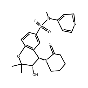 CN(c1ccncc1)S(=O)(=O)c1ccc2c(c1)[C@@H](N1CCCCC1=O)[C@H](O)C(C)(C)O2